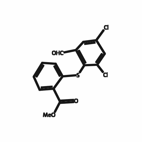 COC(=O)c1ccccc1Sc1c(Cl)cc(Cl)cc1C=O